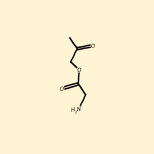 CC(=O)COC(=O)CN